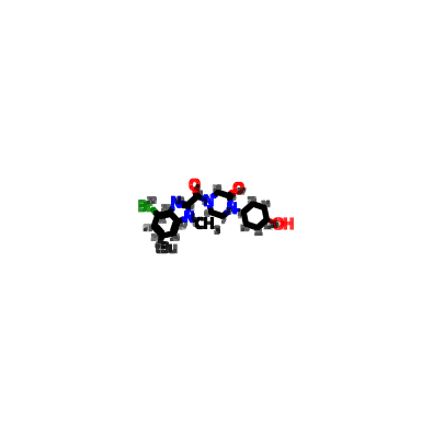 Cn1c(C(=O)N2CCN([C@H]3CC[C@H](O)CC3)C(=O)C2)nc2c(Br)cc(C(C)(C)C)cc21